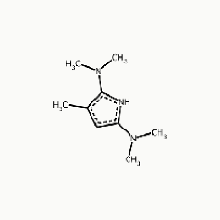 Cc1cc(N(C)C)[nH]c1N(C)C